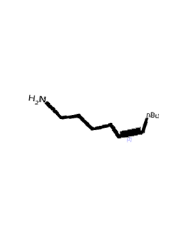 CCCC/C=C\CCCCN